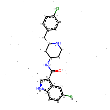 O=C(N[C@@H]1CCN[C@@H](Cc2ccc(Cl)cc2)C1)c1c[nH]c2ccc(Br)cc12